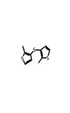 Cc1sccc1Sc1ccsc1C